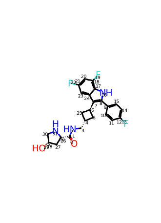 O=C(NC[C@H]1C[C@H](c2c(-c3ccc(F)cc3)[nH]c3c(F)cc(F)cc32)C1)[C@@H]1C[C@H](O)CN1